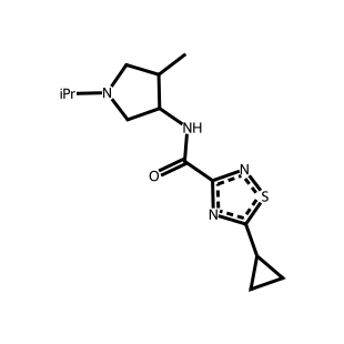 CC1CN(C(C)C)CC1NC(=O)c1nsc(C2CC2)n1